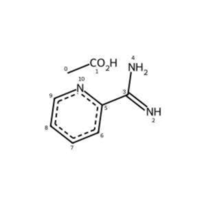 CC(=O)O.N=C(N)c1ccccn1